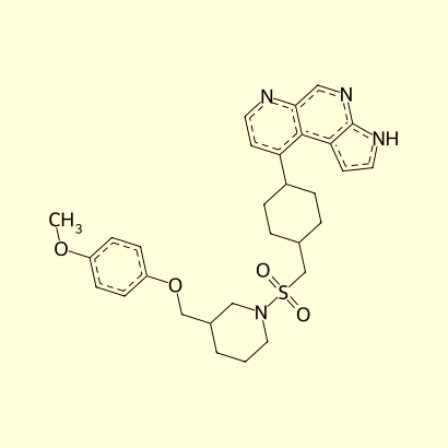 COc1ccc(OCC2CCCN(S(=O)(=O)CC3CCC(c4ccnc5cnc6[nH]ccc6c45)CC3)C2)cc1